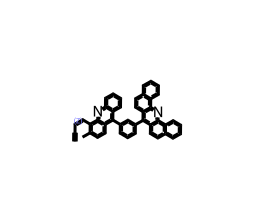 C#C/C=C\c1c(C)ccc2c(-c3cccc(-c4c5ccc6ccccc6c5nc5c4ccc4ccccc45)c3)c3ccccc3nc12